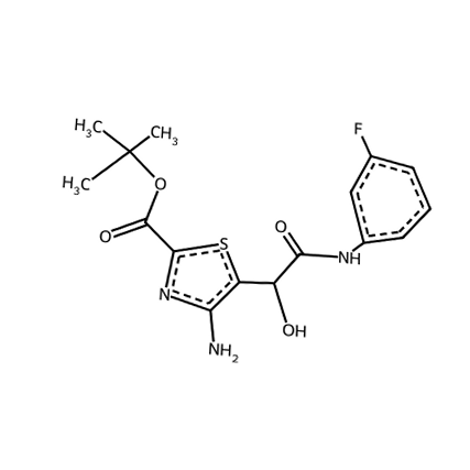 CC(C)(C)OC(=O)c1nc(N)c(C(O)C(=O)Nc2cccc(F)c2)s1